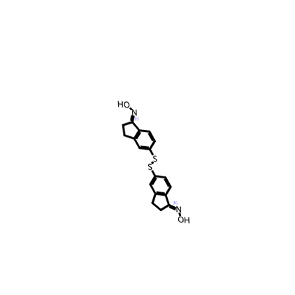 O/N=C1\CCc2cc(SSc3ccc4c(c3)CC/C4=N\O)ccc21